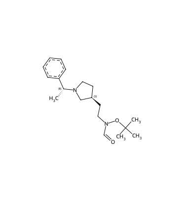 C[C@H](c1ccccc1)N1CC[C@@H](CCN(C=O)OC(C)(C)C)C1